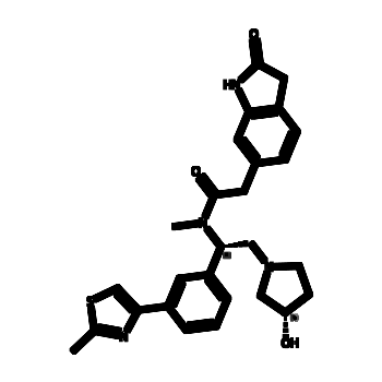 Cc1nc(-c2cccc([C@@H](CN3CC[C@H](O)C3)N(C)C(=O)Cc3ccc4c(c3)NC(=O)C4)c2)cs1